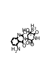 BC1(O)CC(O)(n2c(C)nc3cccc(N)c3c2=O)C(=O)NC1=O